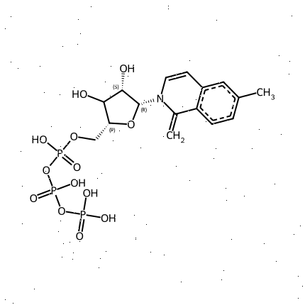 C=C1c2ccc(C)cc2C=CN1[C@@H]1O[C@H](COP(=O)(O)OP(=O)(O)OP(=O)(O)O)C(O)[C@@H]1O